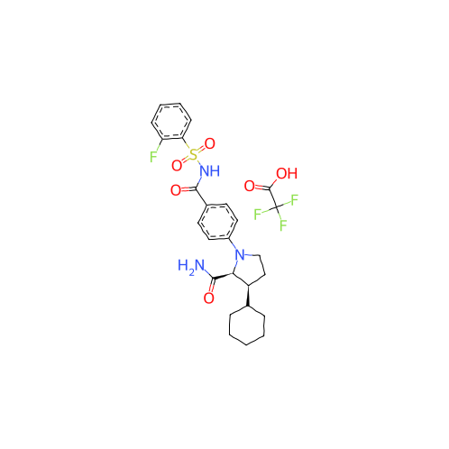 NC(=O)[C@@H]1[C@H](C2CCCCC2)CCN1c1ccc(C(=O)NS(=O)(=O)c2ccccc2F)cc1.O=C(O)C(F)(F)F